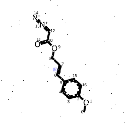 COc1ccc(/C=C/COC(=O)C=[N+]=[N-])cc1